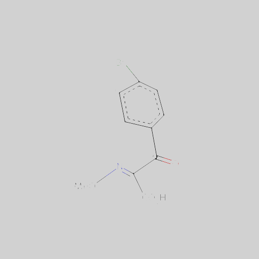 CON=C(C(=O)O)C(=O)c1ccc(Br)cc1